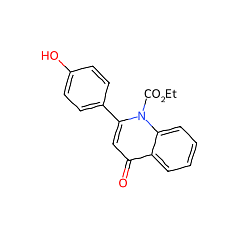 CCOC(=O)n1c(-c2ccc(O)cc2)cc(=O)c2ccccc21